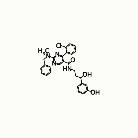 CN(Cc1ccccc1)c1ncc(C(=O)NCCC(O)c2cccc(O)c2)c(-c2ccccc2Cl)n1